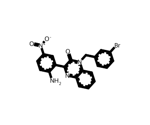 Nc1ccc([N+](=O)[O-])cc1-c1nc2ccccc2n(Cc2cccc(Br)c2)c1=O